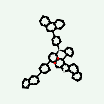 c1ccc(N(c2ccc(-c3ccc(-c4ccc5ccccc5c4)cc3)cc2)c2ccc(-c3cc4ccccc4c4ccccc34)cc2)c(-c2cccc3oc4c5ccccc5ccc4c23)c1